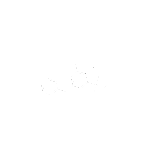 CC(=O)OCC(C)(C)c1cc(Nc2cnccn2)cc(C(C)(C)C)c1O